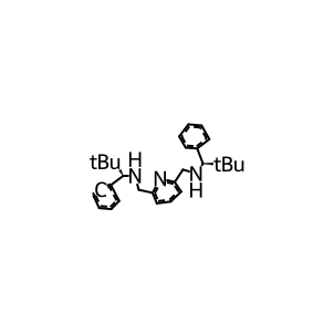 CC(C)(C)[C@@H](NCc1cccc(CN[C@@H](c2ccccc2)C(C)(C)C)n1)c1ccccc1